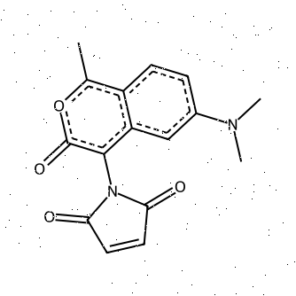 Cc1oc(=O)c(N2C(=O)C=CC2=O)c2cc(N(C)C)ccc12